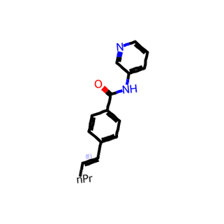 CCC/C=C/c1ccc(C(=O)Nc2cccnc2)cc1